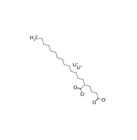 CCCCCCCCCCCCCCC(CCCC(=O)[O-])C(=O)[O-].[Li+].[Li+]